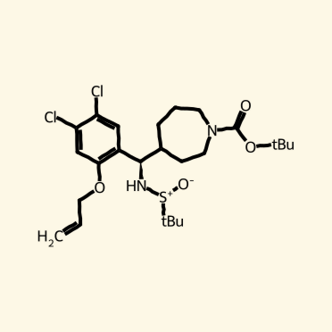 C=CCOc1cc(Cl)c(Cl)cc1[C@H](N[S+]([O-])C(C)(C)C)C1CCCN(C(=O)OC(C)(C)C)CC1